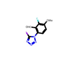 COc1ccc(-n2nnnc2I)c(C=O)c1F